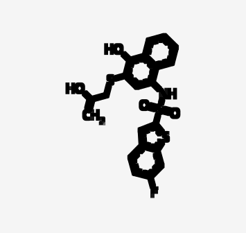 C=C(O)CSc1cc(NS(=O)(=O)c2cc3ccc(F)cc3s2)c2ccccc2c1O